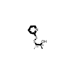 C[C@H](O)[C@H](C)SSc1ccccn1